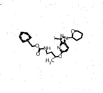 C[C@H](CCNC(=O)OCc1ccccc1)Oc1ccc2c(n1)c(I)nn2C1CCCCO1